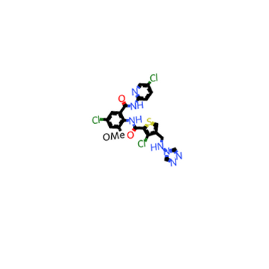 COc1cc(Cl)cc(C(=O)Nc2ccc(Cl)cn2)c1NC(=O)c1scc(CNn2cnnc2)c1Cl